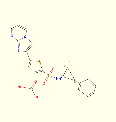 C[C@H]1[C@H](NS(=O)(=O)c2ccc(-c3cn4cccnc4n3)s2)[C@H]1c1ccccc1.O=C(O)O